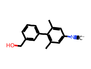 [C-]#[N+]c1cc(C)c(-c2cccc(CO)c2)c(C)c1